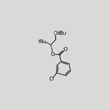 CC(C)COCC(OC(=O)c1cccc(Cl)c1)C(C)(C)C